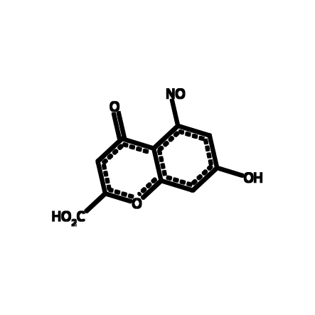 O=Nc1cc(O)cc2oc(C(=O)O)cc(=O)c12